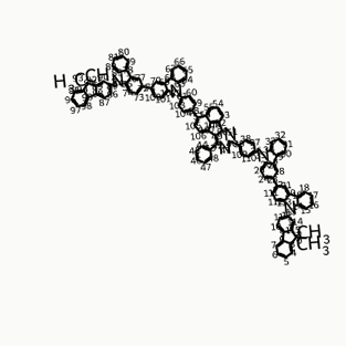 CC1(C)c2ccccc2-c2ccc(-n3c4ccccc4c4cc(-c5ccc6c(c5)c5ccccc5n6-c5ccc(-c6nc(-c7ccccc7)c7c(n6)-c6cccc8c(-c9ccc(-n%10c%11ccccc%11c%11cc(-c%12ccc%13c(c%12)c%12ccccc%12n%13-c%12ccc%13c(c%12)C(C)(C)c%12ccccc%12-%13)ccc%11%10)cc9)ccc-7c68)cc5)ccc43)cc21